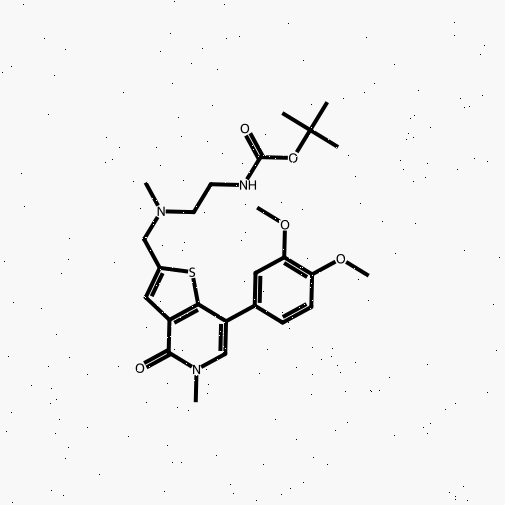 COc1ccc(-c2cn(C)c(=O)c3cc(CN(C)CCNC(=O)OC(C)(C)C)sc23)cc1OC